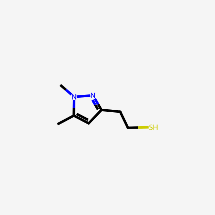 Cc1cc(CCS)nn1C